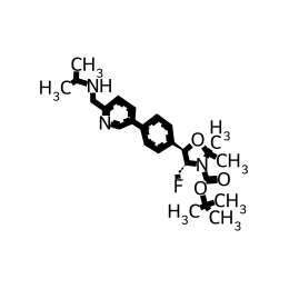 CC(C)NCc1ccc(-c2ccc([C@H]3OC(C)(C)N(C(=O)OC(C)(C)C)[C@@H]3CF)cc2)cn1